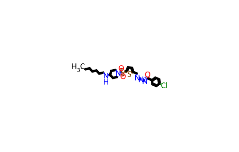 CCCCCCCNC1CCN(S(=O)(=O)c2ccc(CN=[N+]=NC(=O)c3ccc(Cl)cc3)s2)CC1